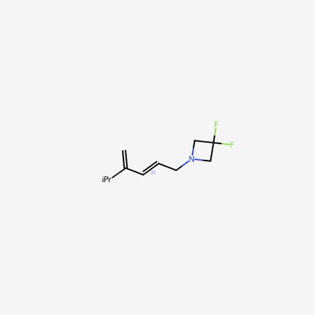 C=C(/C=C/CN1CC(F)(F)C1)C(C)C